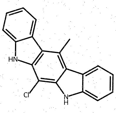 Cc1c2c([nH]c3ccccc32)c(Cl)c2[nH]c3ccccc3c12